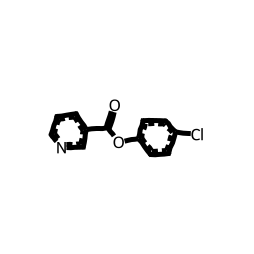 O=C(Oc1ccc(Cl)cc1)c1cccnc1